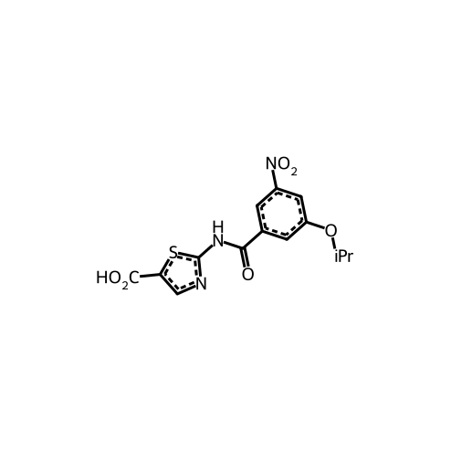 CC(C)Oc1cc(C(=O)Nc2ncc(C(=O)O)s2)cc([N+](=O)[O-])c1